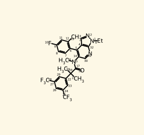 CCn1ncc2c(-c3ccc(F)cc3C)c(N(C)C(=O)C(C)(C)c3cc(C(F)(F)F)cc(C(F)(F)F)c3)cnc21